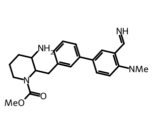 CNc1ccc(-c2cccc(CC3C(N)CCCN3C(=O)OC)c2)cc1C=N